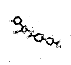 N#Cc1sc(NC(=O)c2ccc(N3CCC(C(=O)O)CC3)nc2)nc1-c1cccc(F)c1